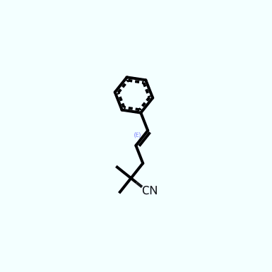 CC(C)(C#N)C/C=C/c1ccccc1